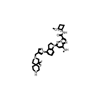 CNc1cc(N2CCc3c2cccc3-n2cc(CN3CCC4(CCNCC4)C(F)(F)C3)cn2)nn2c(C(=O)N[C@@H]3CC[C@H]3OC)cnc12